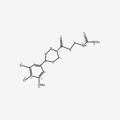 CCc1cc(C2CCN(C(=O)CCNC(=O)NC(C)=O)CC2)cc(OC)c1Cl